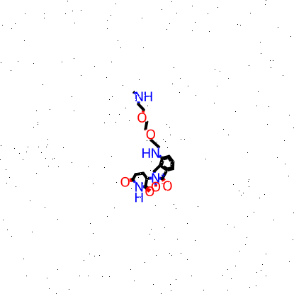 CNCCOCCOCCNc1cccc2c1C[N+]([O-])(C1CCC(=O)NC1=O)C2=O